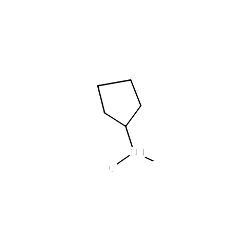 [CH2-][NH+](C)C1CCCC1